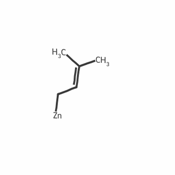 CC(C)=C[CH2][Zn]